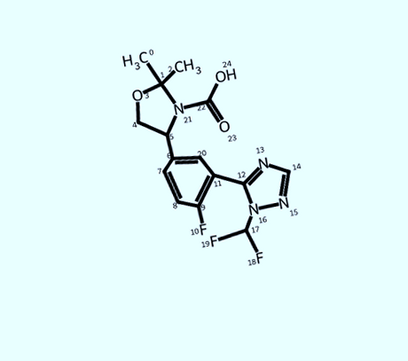 CC1(C)OCC(c2ccc(F)c(-c3ncnn3C(F)F)c2)N1C(=O)O